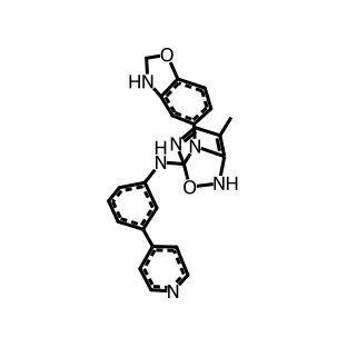 CC1=C2NOC(Nc3cccc(-c4ccncc4)c3)(N=C1)N2c1ccc2c(c1)NCO2